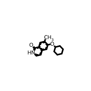 Cc1cc2c(=O)[nH]ccc2cc1OC1CCCCC1